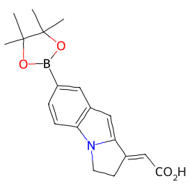 CC1(C)OB(c2ccc3c(c2)cc2n3CC/C2=C\C(=O)O)OC1(C)C